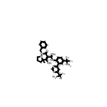 CC12CCCN1N(Cc1ccccc1)C(=O)C(C(=P)Nc1ccc(C(F)(F)P)cc1-c1cc(C(F)(F)P)ncn1)=C2O